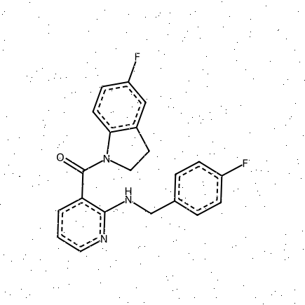 O=C(c1cccnc1NCc1ccc(F)cc1)N1CCc2cc(F)ccc21